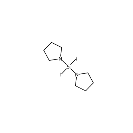 I[Si](I)(N1CCCC1)N1CCCC1